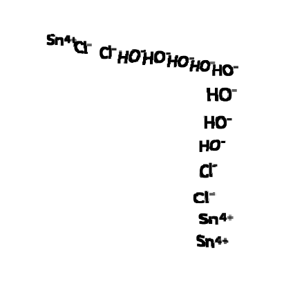 [Cl-].[Cl-].[Cl-].[Cl-].[OH-].[OH-].[OH-].[OH-].[OH-].[OH-].[OH-].[OH-].[Sn+4].[Sn+4].[Sn+4]